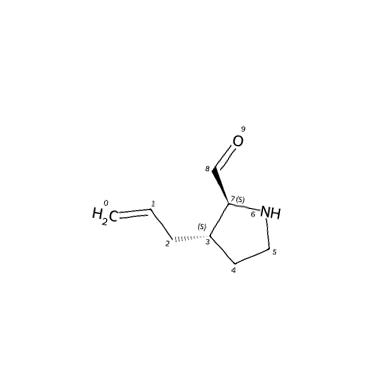 C=CC[C@H]1CCN[C@@H]1C=O